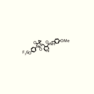 COc1ccc(CNC(=O)c2cnccc2CN2C(=O)N(c3ccc(OC(F)(F)F)cc3)C(=O)C23CC3)cc1